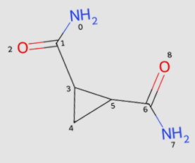 NC(=O)C1CC1C(N)=O